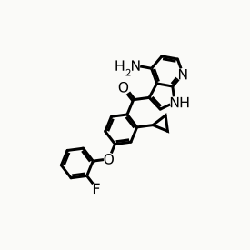 Nc1ccnc2[nH]cc(C(=O)c3ccc(Oc4ccccc4F)cc3C3CC3)c12